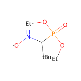 CCOP(=O)(OCC)C(N[O])C(C)(C)C